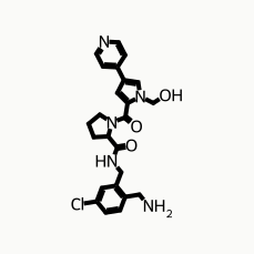 NCc1ccc(Cl)cc1CNC(=O)C1CCCN1C(=O)c1cc(-c2ccncc2)cn1CO